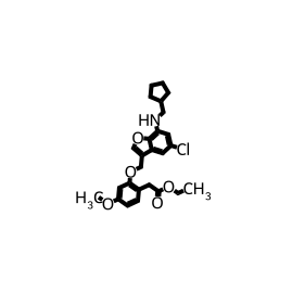 CCOC(=O)Cc1ccc(OC)cc1OCc1coc2c(NCC3CCCC3)cc(Cl)cc12